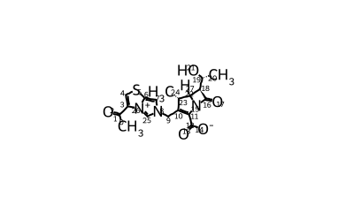 CC(=O)c1csc2cn(CC3=C(C(=O)[O-])N4C(=O)[C@H]([C@@H](C)O)[C@H]4[C@H]3C)c[n+]12